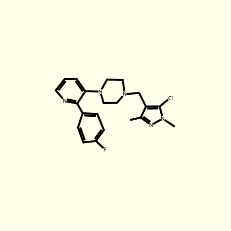 Cc1nn(C)c(Cl)c1CN1CCN(c2cccnc2-c2ccc(F)cc2)CC1